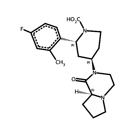 Cc1cc(F)ccc1[C@H]1C[C@H](N2CCN3CCC[C@H]3C2=O)CCN1C(=O)O